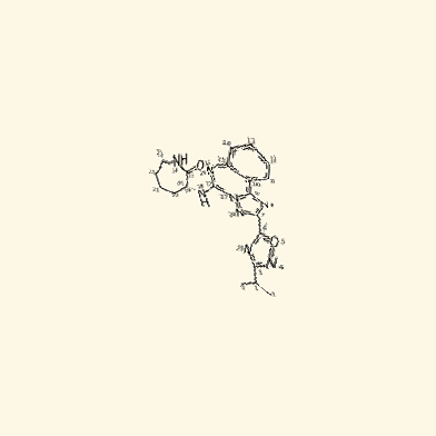 CC(C)c1noc(-c2nc3c4ccccc4nc(N[C@@H]4CCCCNC4=O)n3n2)n1